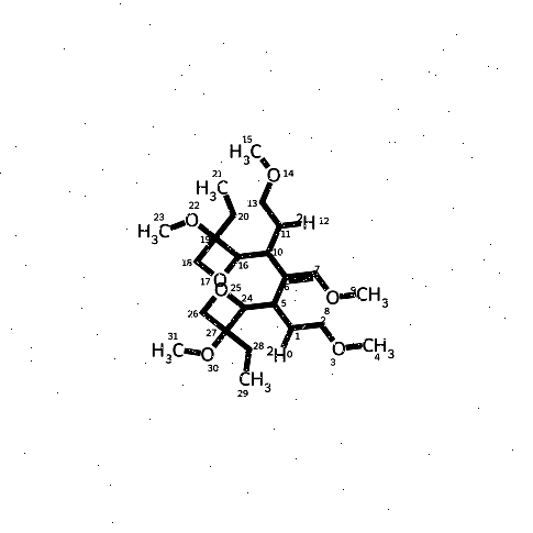 [2H]C(COC)C(C(=COC)C(C([2H])COC)C1OCC1(CC)OC)C1OCC1(CC)OC